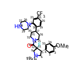 COc1ccc([C@@H]2CN(C(C)(C)C)C[C@@]2(F)C(=O)N2CCC(c3ccc(C(F)(F)F)cc3N3CCNCC3)CC2)cc1